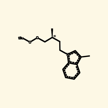 Cc1cn(CC[C@H](C)COOC(C)(C)C)c2ccccc12